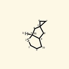 C1CS[C@@H]2CC3(CC3)CC2C1